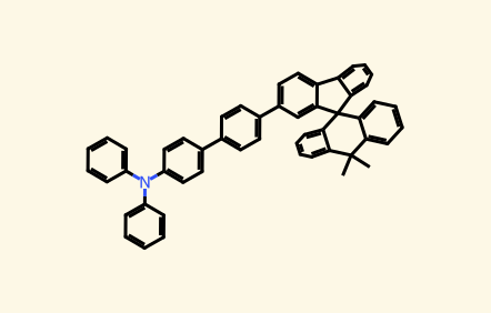 CC1(C)c2ccccc2C2(c3ccccc3-c3ccc(-c4ccc(-c5ccc(N(c6ccccc6)c6ccccc6)cc5)cc4)cc32)c2ccccc21